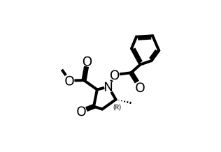 COC(=O)C1C(=O)C[C@@H](C)N1OC(=O)c1ccccc1